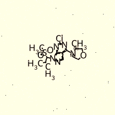 CC(C)C(n1ncc2c(N3CCOC[C@H]3C)nc(Cl)nc21)S(C)(=O)=O